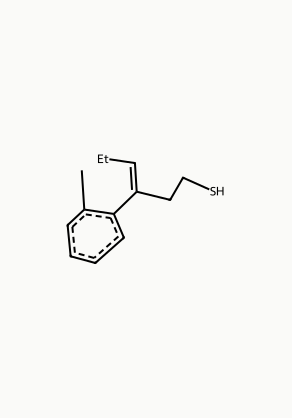 CC/C=C(/CCS)c1ccccc1C